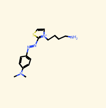 CN(C)c1ccc(/N=N/c2scc[n+]2CCCCN)cc1